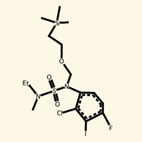 CCN(C)S(=O)(=O)N(COCC[Si](C)(C)C)c1ccc(F)c(I)c1Cl